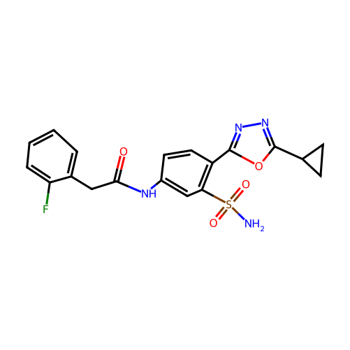 NS(=O)(=O)c1cc(NC(=O)Cc2ccccc2F)ccc1-c1nnc(C2CC2)o1